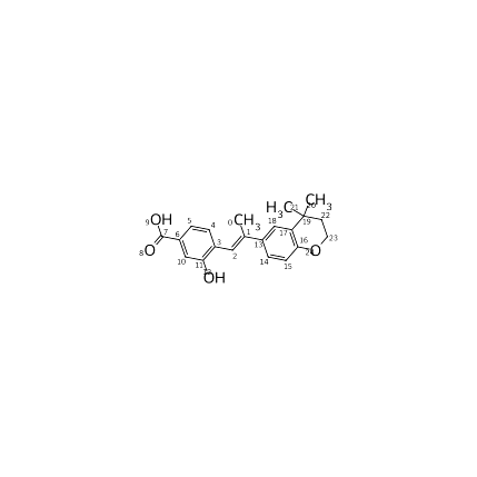 C/C(=C\c1ccc(C(=O)O)cc1O)c1ccc2c(c1)C(C)(C)CCO2